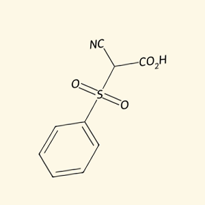 N#CC(C(=O)O)S(=O)(=O)c1ccccc1